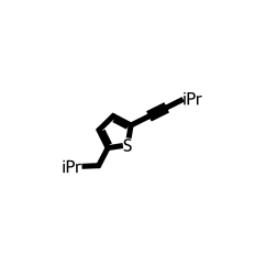 CC(C)C#Cc1ccc(CC(C)C)s1